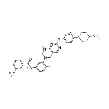 Cc1ccc(NC(=O)c2cccc(C(F)(F)F)c2)cc1N1Cc2cnc(Nc3ccc(N4CCC(N)CC4)nc3)nc2N(C)C1